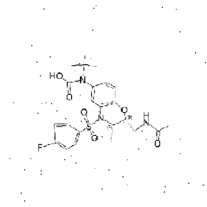 CC(=O)NC[C@H]1Oc2ccc(N(C(=O)O)C(C)(C)C)cc2N(S(=O)(=O)c2ccc(F)cc2)[C@H]1C